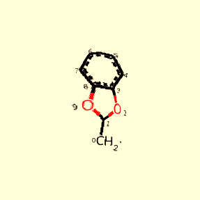 [CH2]C1Oc2ccccc2O1